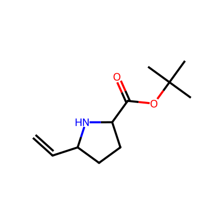 C=CC1CCC(C(=O)OC(C)(C)C)N1